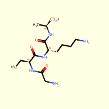 C[C@H](NC(=O)[C@H](CCCCN)NC(=O)[C@H](CC(C)(C)C)NC(=O)CN)C(=O)O